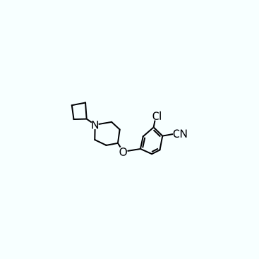 N#Cc1ccc(OC2CCN(C3CCC3)CC2)cc1Cl